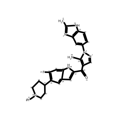 Cc1nc2cc(-n3ncc(C(=O)c4cc5cc(C6CCN(C(C)C)CC6)c(F)cc5[nH]4)c3N)ccc2[nH]1